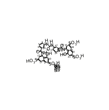 O=C(Nc1cccc(C(=O)Nc2cc(S(=O)(=O)O)cc3cc(S(=O)(=O)O)cc(O)c23)c1)Nc1cccc(C(=O)Nc2cc(S(=O)(=O)O)cc3cc(S(=O)(=O)O)cc(O)c23)c1.[Na].[Na].[Na].[Na]